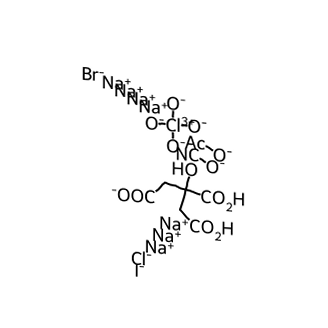 CC(=O)[O-].N#C[O-].O=C([O-])CC(O)(CC(=O)O)C(=O)O.[Br-].[Cl-].[I-].[Na+].[Na+].[Na+].[Na+].[Na+].[Na+].[Na+].[O-][Cl+3]([O-])([O-])[O-]